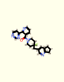 O=C(c1cccnc1-c1ccncn1)N1CCC(F)(Cc2cnc3c(c2)CCC3)CC1